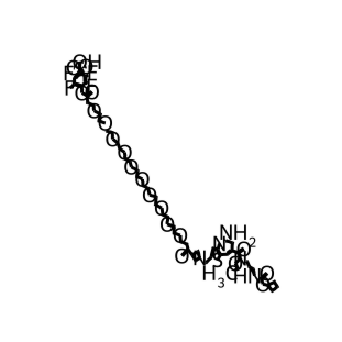 CCON(CCCNC(=O)OC1CCC1)C(=O)C1=Cc2sc(CN3CC(C(=O)CCOCCOCCOCCOCCOCCOCCOCCOCCOCCOCCC(=O)Oc4c(F)c(F)c(S(=O)(=O)O)c(F)c4F)C3)cc2N=C(N)C1